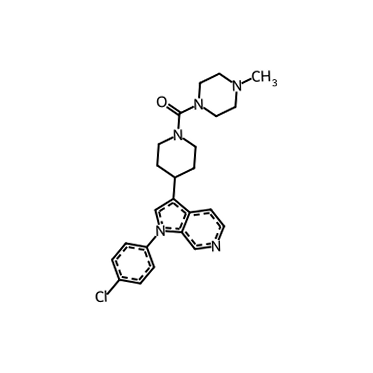 CN1CCN(C(=O)N2CCC(c3cn(-c4ccc(Cl)cc4)c4cnccc34)CC2)CC1